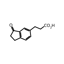 O=C(O)CCc1ccc2c(c1)C(=O)CC2